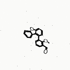 COc1c(C=O)cccc1-c1cccc2oc3ccccc3c12